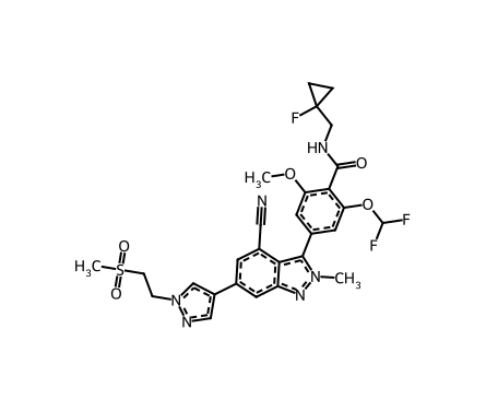 COc1cc(-c2c3c(C#N)cc(-c4cnn(CCS(C)(=O)=O)c4)cc3nn2C)cc(OC(F)F)c1C(=O)NCC1(F)CC1